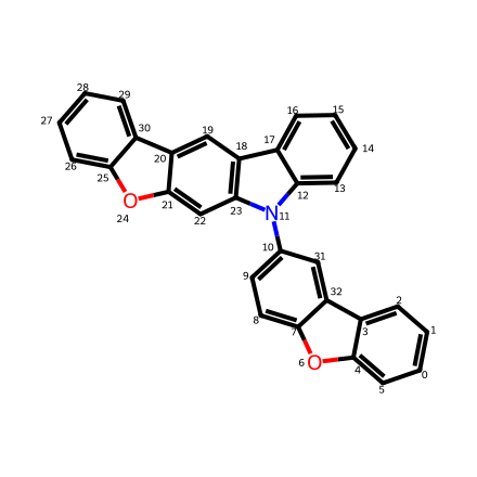 c1ccc2c(c1)oc1ccc(-n3c4ccccc4c4cc5c(cc43)oc3ccccc35)cc12